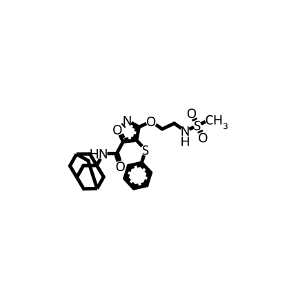 CS(=O)(=O)NCCOc1noc(C(=O)NC23CC4CC(CC(C4)C2)C3)c1Sc1ccccc1